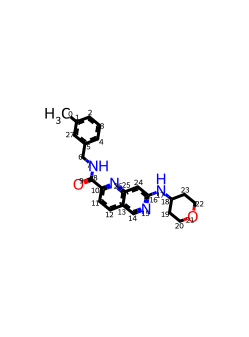 Cc1cccc(CNC(=O)c2ccc3cnc(NC4CCOCC4)cc3n2)c1